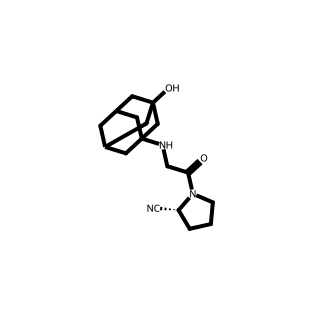 N#C[C@H]1CCCN1C(=O)CNC12CC3CC(CC(O)(C3)C1)C2